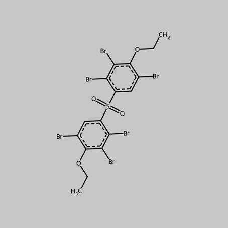 CCOc1c(Br)cc(S(=O)(=O)c2cc(Br)c(OCC)c(Br)c2Br)c(Br)c1Br